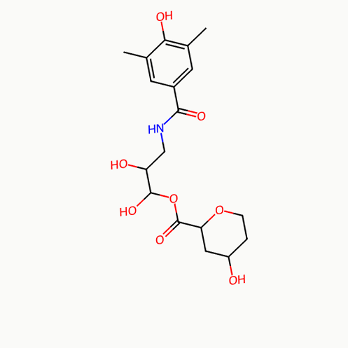 Cc1cc(C(=O)NCC(O)C(O)OC(=O)C2CC(O)CCO2)cc(C)c1O